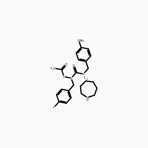 CC(C)COc1ccc(CN(C(=O)N(Cc2ccc(F)cc2)OC(=O)C(F)(F)F)[C@@H]2CCCNCC2)cc1